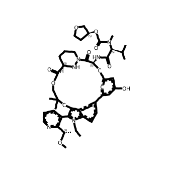 CCn1c(-c2cccnc2[C@H](C)OC)c2c3cc(ccc31)-c1cc(O)cc(c1)C[C@H](NC(=O)[C@H](C(C)C)N(C)C(=O)O[C@H]1CCOC1)C(=O)N1CCC[C@H](N1)C(=O)OCC(C)(C)C2